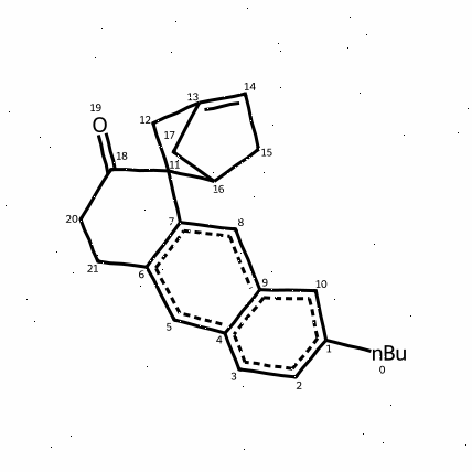 CCCCc1ccc2cc3c(cc2c1)C1(CC2=CCC1C2)C(=O)CC3